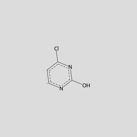 Oc1n[c]cc(Cl)n1